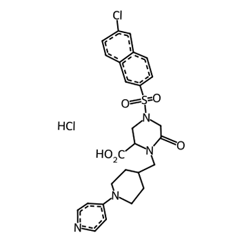 Cl.O=C(O)C1CN(S(=O)(=O)c2ccc3cc(Cl)ccc3c2)CC(=O)N1CC1CCN(c2ccncc2)CC1